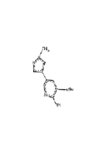 CC(C)c1ncc(-c2cnn(C)c2)cc1C(C)(C)C